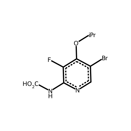 CC(C)Oc1c(Br)cnc(NC(=O)O)c1F